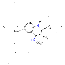 COc1ccc2c(c1)[C@H](NC(=O)O)[C@@H](C)[C@H](C1CC1)N2C(C)=O